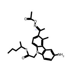 CCCC(C)SC(=O)Cn1c2ccc(N)cc2c2c(C)c(/C(C)=N/OC(C)=O)ccc21